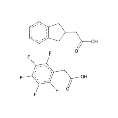 O=C(O)CC1Cc2ccccc2C1.O=C(O)Cc1c(F)c(F)c(F)c(F)c1F